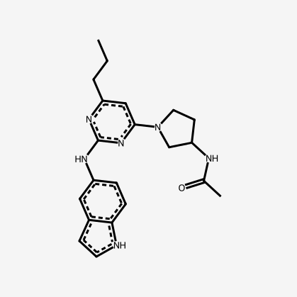 CCCc1cc(N2CCC(NC(C)=O)C2)nc(Nc2ccc3[nH]ccc3c2)n1